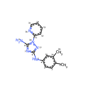 Cc1ccc(Nc2nc(N)n(-c3ccccn3)n2)cc1C